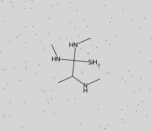 CNC(C)C([SiH3])(NC)NC